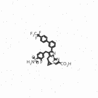 NS(=O)(=O)c1ccc(Cc2c(-c3cccc(-c4ccc(C(F)(F)C(F)(F)F)cc4)c3)nn(-c3nc(C(=O)O)cs3)c2CC2CC2)cc1F